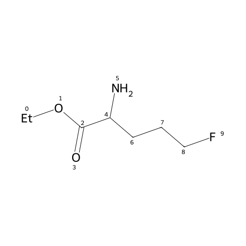 CCOC(=O)C(N)CCCF